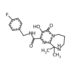 CC1(C)NCCCn2c1nc(C(=O)NCc1ccc(F)cc1)c(O)c2=O